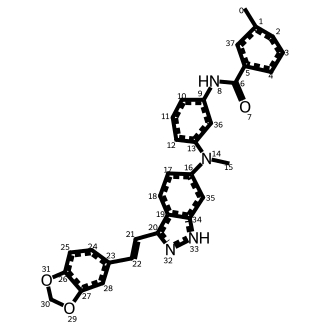 Cc1cccc(C(=O)Nc2cccc(N(C)c3ccc4c(C=Cc5ccc6c(c5)OCO6)n[nH]c4c3)c2)c1